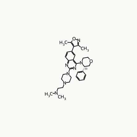 Cc1noc(C)c1-c1ccc2nc(N3CCN(CCN(C)C)CC3)nc(N3CCOC[C@@H]3c3ccccc3)c2c1